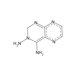 NC1=c2nccnc2=NCN1N